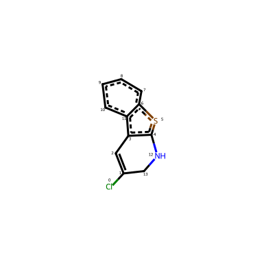 ClC1=Cc2c(sc3ccccc23)NC1